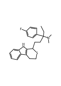 CCC(CCC1SCCc2c1[nH]c1ccccc21)(c1ccc(F)cc1)N(C)C